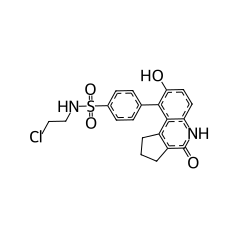 O=c1[nH]c2ccc(O)c(-c3ccc(S(=O)(=O)NCCCl)cc3)c2c2c1CCC2